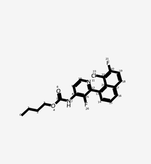 CCCCOC(=O)Nc1ccnc(-c2cccc3ccc(F)c(Cl)c23)c1F